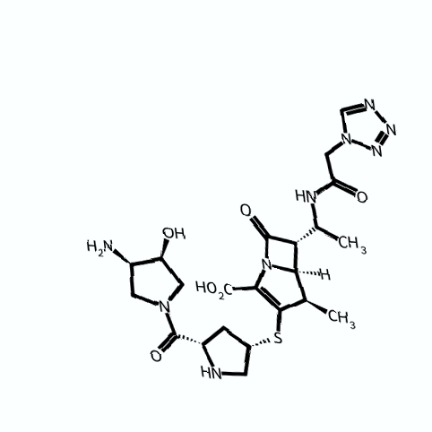 CC(NC(=O)Cn1cnnn1)[C@H]1C(=O)N2C(C(=O)O)=C(S[C@@H]3CN[C@H](C(=O)N4C[C@@H](N)[C@@H](O)C4)C3)[C@H](C)[C@H]12